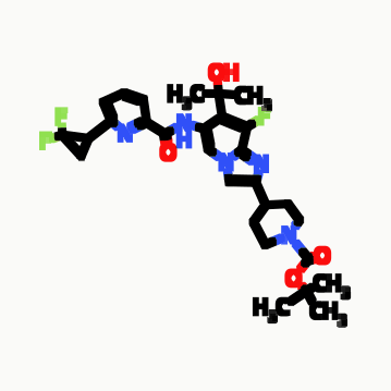 CC(C)(C)OC(=O)N1CCC(c2cn3cc(NC(=O)c4cccc(C5CC5(F)F)n4)c(C(C)(C)O)c(F)c3n2)CC1